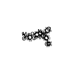 C=CC(=O)N1CCC(Oc2cc3c(Nc4cc(-c5ccco5)ccc4OC4CCOCC4)ncnc3cc2OC)CC1